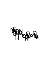 Cc1nc(C)c(S(=O)(=O)Nc2cc(-c3ccc4ncn([C@H]5C[C@H](C(=O)N6CCCC6)C5)c(=O)c4c3)cnc2C)s1